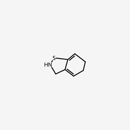 C1=C2CNSC2=CCC1